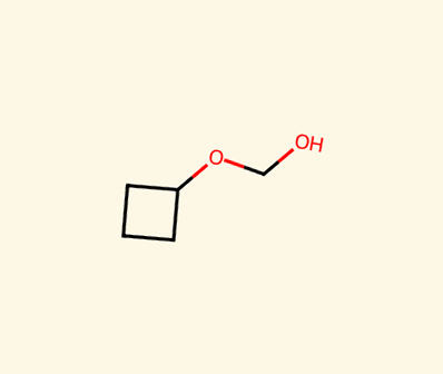 OCOC1CCC1